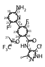 Cc1n[nH]c(Cl)c1NC(=O)c1cc(F)c(-c2nc(N)ccc2F)cc1O[C@@H](C)C(F)(F)F